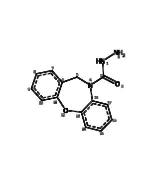 NNC(=O)N1Cc2ccccc2Oc2ccccc21